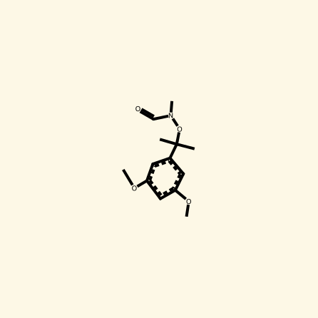 COc1cc(OC)cc(C(C)(C)ON(C)C=O)c1